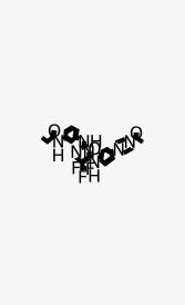 CCC(=O)Nc1cccc(Nc2ncc(C(F)(F)F)c(Nc3ccc(N4CCN(C(C)=O)CC4)cc3OC)n2)c1